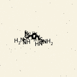 CN(C)C[C@@H](CSC(=N)N)c1ccc(CCSC(=N)N)cc1